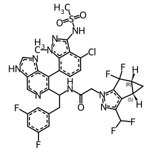 Cn1nc(NS(C)(=O)=O)c2c(Cl)ccc(-c3c(C(Cc4cc(F)cc(F)c4)NC(=O)Cn4nc(C(F)F)c5c4C(F)(F)[C@@H]4C[C@H]54)ncc4[nH]cnc34)c21